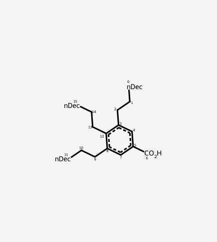 CCCCCCCCCCCCc1cc(C(=O)O)cc(CCCCCCCCCCCC)c1CCCCCCCCCCCC